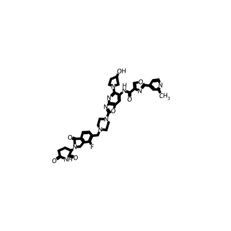 Cc1cc(-c2nc(C(=O)Nc3cc4oc(N5CCN(Cc6ccc7c(c6F)CN(C6CCC(=O)NC6=O)C7=O)CC5)nc4nc3N3CCC(O)C3)co2)ccn1